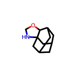 C1NC23CC4CC(CC(C4)C2O1)C3